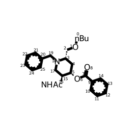 CCCCOC[C@@H]1C[C@H](OC(=O)c2ccccc2)[C@@H](NC(C)=O)CN1Cc1ccccc1